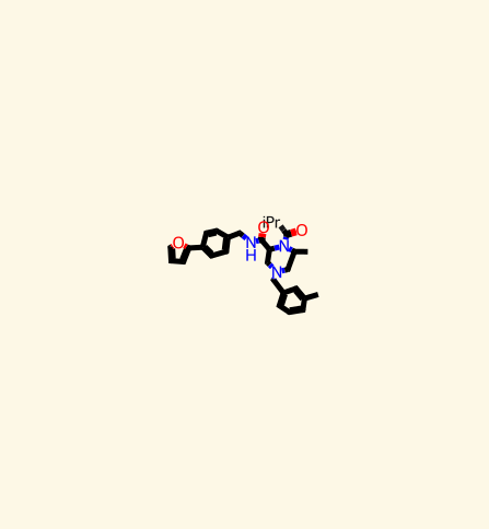 Cc1cccc(CN2CC(C)N(C(=O)C(C)C)C(C(=O)NCc3ccc(-c4ccco4)cc3)C2)c1